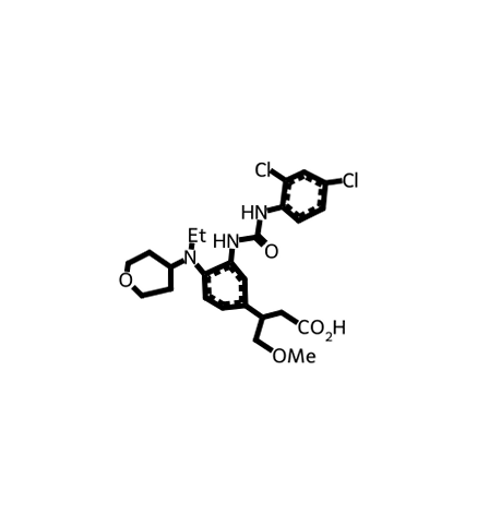 CCN(c1ccc(C(COC)CC(=O)O)cc1NC(=O)Nc1ccc(Cl)cc1Cl)C1CCOCC1